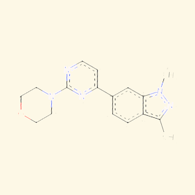 Cc1nn(C)c2cc(-c3c[c]nc(N4CCOCC4)n3)ccc12